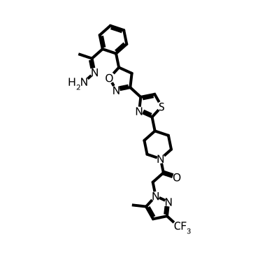 CC(=NN)c1ccccc1C1CC(c2csc(C3CCN(C(=O)Cn4nc(C(F)(F)F)cc4C)CC3)n2)=NO1